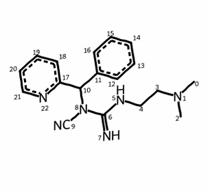 CN(C)CCNC(=N)N(C#N)C(c1ccccc1)c1ccccn1